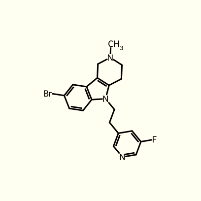 CN1CCc2c(c3cc(Br)ccc3n2CCc2cncc(F)c2)C1